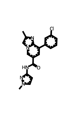 Cc1cn2cc(C(=O)Nc3ccn(C)n3)cc(-c3cccc(Cl)c3)c2n1